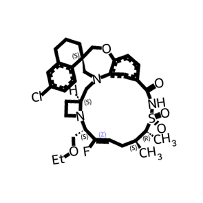 CCOC[C@H]1/C(F)=C/C[C@H](C)[C@@H](C)S(=O)(=O)NC(=O)c2ccc3c(c2)N(C[C@@H]2CCN21)C[C@@]1(CCCc2cc(Cl)ccc21)CO3